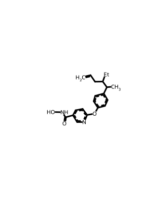 C=CCC(CC)C(C)c1ccc(Oc2ccc(C(=O)NO)cn2)cc1